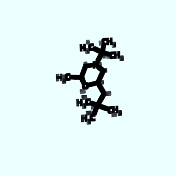 CC1CN(C(C)(C)C)CC(CC(C)(C)C)O1